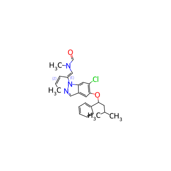 C/C=C\C(=C/N(C)C=O)n1ncc2cc(OC(CC(C)C)c3ccccc3)c(Cl)cc21